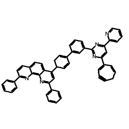 C1#CCC=CC(c2cc(-c3ccccn3)nc(-c3cccc(C4=CCC(c5cc(-c6ccccc6)nc6c5ccc5ccc(-c7ccccc7)nc56)C=C4)c3)n2)=C1